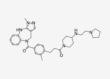 Cc1cc(C(=O)N2Cc3cnn(C)c3Nc3ccccc32)ccc1CCC(=O)N1CCC(NCCN2CCCC2)CC1